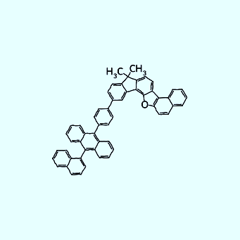 CC1(C)c2ccc(-c3ccc(-c4c5ccccc5c(-c5cccc6ccccc56)c5ccccc45)cc3)cc2-c2c1ccc1c2oc2ccc3ccccc3c21